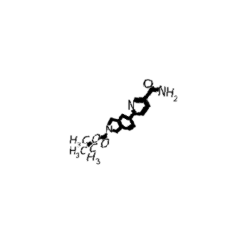 CC(C)(C)OC(=O)N1CCc2cc(-c3ccc(C(N)=O)cn3)ccc2C1